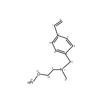 C=Cc1ccc(CN(C)CCOCCC)cc1